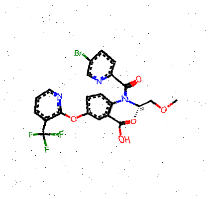 COC[C@H](C)N(C(=O)c1ccc(Br)cn1)c1ccc(Oc2ncccc2C(F)(F)F)cc1C(=O)O